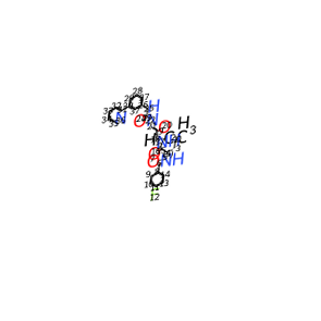 CC(C)C[C@H](NC(=O)c1ccc(F)cc1)C(=O)NCC(=O)CNC(=O)Cc1cccc(-c2ccccn2)c1